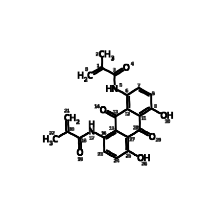 C=C(C)C(=O)Nc1ccc(O)c2c1C(=O)c1c(NC(=O)C(=C)C)ccc(O)c1C2=O